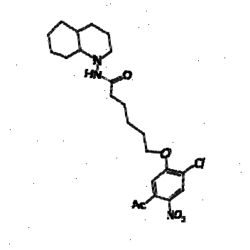 CC(=O)c1cc(OCCCCCC(=O)NN2CCCC3CCCCC32)c(Cl)cc1[N+](=O)[O-]